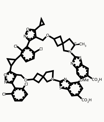 COc1cc(C(=O)O)cc2sc(N3CCC4(CC(OCc5c(-c6c(Cl)cccc6Cl)noc5C5CC5c5ccc(Cl)c(-c6noc(C7CC7)c6COC6CC7(C6)C[C@@H](C)N(c6nc8ccc(C(=O)O)cc8s6)C7)c5Cl)C4)C3)nc12